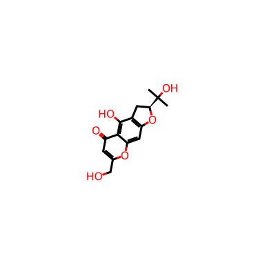 CC(C)(O)[C@@H]1Cc2c(cc3oc(CO)cc(=O)c3c2O)O1